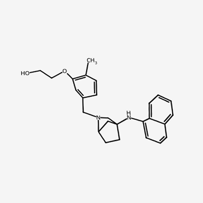 Cc1ccc(CN2CC3(Nc4cccc5ccccc45)CCC2C3)cc1OCCO